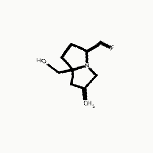 C=C1CN2C(CF)CCC2(CO)C1